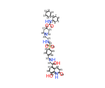 O=C(Nc1ccccc1-c1ccccc1)OC1CCN(CCNCS(=O)(=O)c2ccc(CNCC(O)c3ccc(O)c4[nH]c(=O)ccc34)cc2)CC1